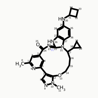 Cc1cc2cc(n1)-c1cnn(C)c1OCCCC(C1CC1)N1/C(=N/C2=O)Nc2cc(NC3CCC3)ccc21